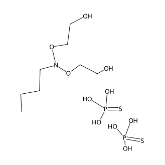 CCCCN(OCCO)OCCO.OP(O)(O)=S.OP(O)(O)=S